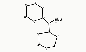 CCCCC(C1CCCCC1)C1CCCCC1